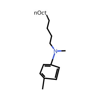 CCCCCCCCCCCCN(C)c1ccc(C)cc1